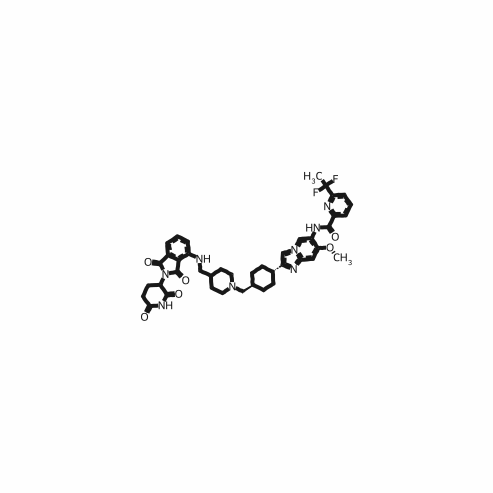 COc1cc2nc([C@H]3CC[C@H](CN4CCC(CNc5cccc6c5C(=O)N(C5CCC(=O)NC5=O)C6=O)CC4)CC3)cn2cc1NC(=O)c1cccc(C(C)(F)F)n1